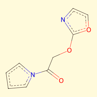 O=C(COc1ncco1)n1cccc1